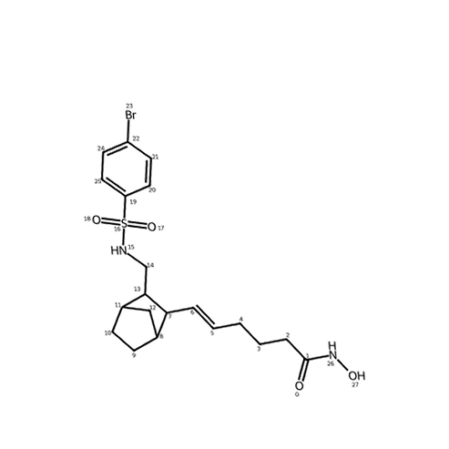 O=C(CCCC=CC1C2CCC(C2)C1CNS(=O)(=O)c1ccc(Br)cc1)NO